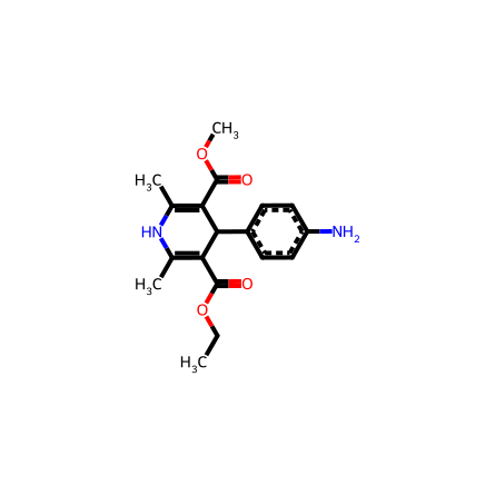 CCOC(=O)C1=C(C)NC(C)=C(C(=O)OC)C1c1ccc(N)cc1